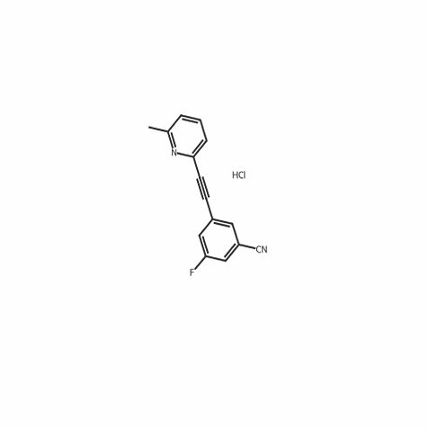 Cc1cccc(C#Cc2cc(F)cc(C#N)c2)n1.Cl